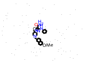 COc1ccc2cc(CN3CCC(CC#N)(n4cc(C(N)=O)c(Nc5ccccc5)n4)CC3)ccc2c1